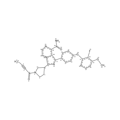 CC#CC(=O)N1CCC(c2nc(-c3ccc(Oc4cccc(OC)c4F)cc3)c3c(C(N)=O)nccn23)C1